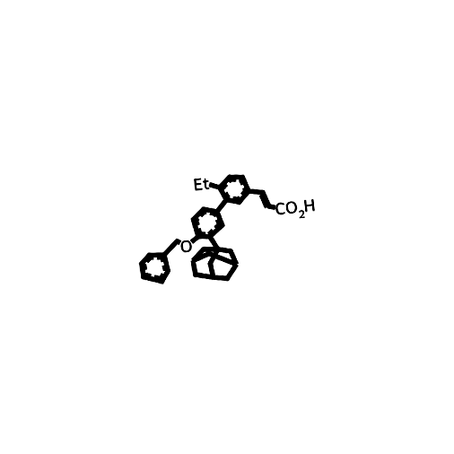 CCc1ccc(C=CC(=O)O)cc1-c1ccc(OCc2ccccc2)c(C23CC4CC(CC(C4)C2)C3)c1